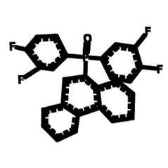 O=P(c1ccc(F)c(F)c1)(c1ccc(F)c(F)c1)c1cc2ccccc2c2ccccc12